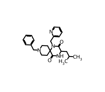 CC(C)CC1NC(=O)C2(CCN(Cc3ccccc3)CC2)N(Cc2ccccn2)C1=O